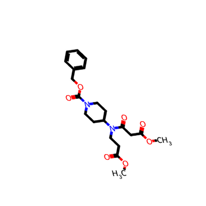 COC(=O)CCN(C(=O)CC(=O)OC)C1CCN(C(=O)OCc2ccccc2)CC1